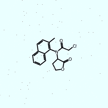 Cc1ccc2ccccc2c1N(C(=O)CCl)C1CCOC1=O